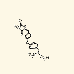 N[C@@H](Cc1ccc(Oc2ccc(/C=C3/SC(=O)NC3=O)cc2)cc1)C(=O)O